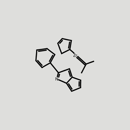 C1=CC2=CC(c3ccccc3)=NC2=C1.C[C](C)=[Zr][C]1=CC=CC1